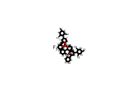 Cc1cc(C)c(-c2ccc3c(c2)c2ccccc2n3-c2cccc(C#N)c2-c2c(-c3c(C(F)(F)F)cccc3C(F)(F)F)cccc2-n2c3ccccc3c3cc(-c4c(C)cc(C)cc4C)ccc32)c(C)c1